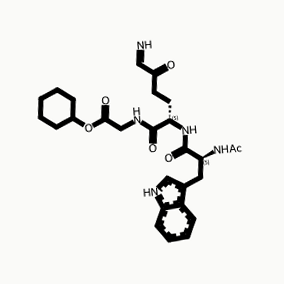 CC(=O)N[C@@H](Cc1c[nH]c2ccccc12)C(=O)N[C@@H](CCC(=O)C=N)C(=O)NCC(=O)OC1CCCCC1